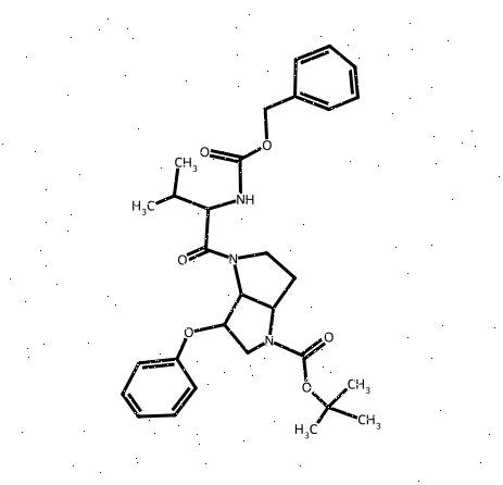 CC(C)C(NC(=O)OCc1ccccc1)C(=O)N1CCC2C1C(Oc1ccccc1)CN2C(=O)OC(C)(C)C